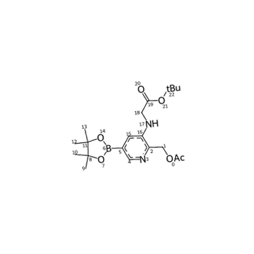 CC(=O)OCc1ncc(B2OC(C)(C)C(C)(C)O2)cc1NCC(=O)OC(C)(C)C